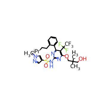 CC(C)CCc1ccccc1-c1nc(NS(=O)(=O)c2cnn(C)c2)nc(OCC(C)(C)CO)c1C(F)(F)C(F)(F)F